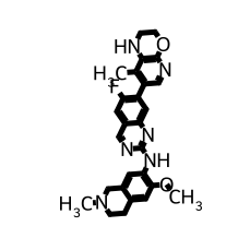 COc1cc2c(cc1Nc1ncc3cc(F)c(-c4cnc5c(c4C)NCCO5)cc3n1)CN(C)CC2